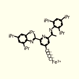 CC(=Nc1c(C(C)C)cc(C(C)C)cc1C(C)C)c1cc(Cl)cc(C(C)=Nc2c(C(C)C)cc(C(C)C)cc2C(C)C)n1.[Cl-].[Cl-].[Cl-].[Fe+3]